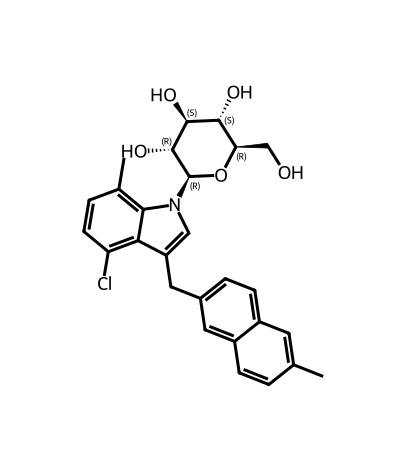 Cc1ccc2cc(Cc3cn([C@@H]4O[C@H](CO)[C@@H](O)[C@H](O)[C@H]4O)c4c(C)ccc(Cl)c34)ccc2c1